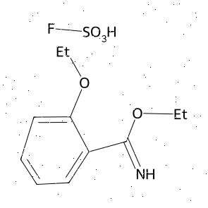 CCOC(=N)c1ccccc1OCC.O=S(=O)(O)F